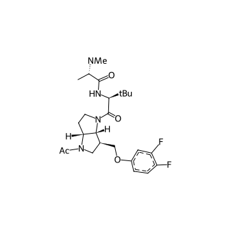 CN[C@@H](C)C(=O)N[C@H](C(=O)N1CC[C@@H]2[C@H]1[C@@H](COc1ccc(F)c(F)c1)CN2C(C)=O)C(C)(C)C